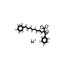 O=C([O-])C1(CCCCCCCCc2ccccc2)OC1c1ccccc1.[Li+]